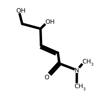 CN(C)C(=O)C=CC(O)CO